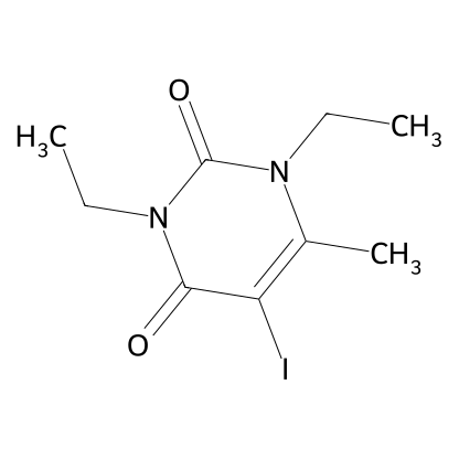 CCn1c(C)c(I)c(=O)n(CC)c1=O